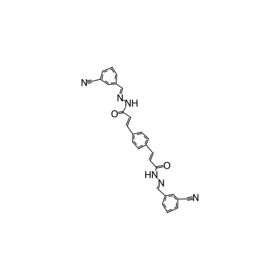 N#Cc1cccc(/C=N/NC(=O)/C=C/c2ccc(/C=C/C(=O)N/N=C/c3cccc(C#N)c3)cc2)c1